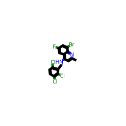 Cc1cc(NCc2c(Cl)ccc(Cl)c2Cl)c2cc(F)cc(Br)c2n1